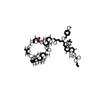 C=CCOC(=O)NC[C@H]1O[C@@H]([C@@H](C)CC(=O)C[C@H](C)[C@@H](/C=C/C(=O)C[C@H]2O[C@H]3[C@H](C)[C@H]4OC(=O)C[C@H]5CC[C@@H]6O[C@@H]7[C@H]8O[C@@H]9C[C@](CC[C@H]%10CC(=C)[C@H](CC[C@H]%11C[C@@H](C)C(=C)[C@@H](C[C@@H]4O[C@H]3C[C@H]2C)O%11)O%10)(O[C@H]8[C@H]6O5)O[C@H]79)OCc2ccc(OC)cc2)[C@@H](O[Si](C)(C)C(C)(C)C)C[C@H]1C